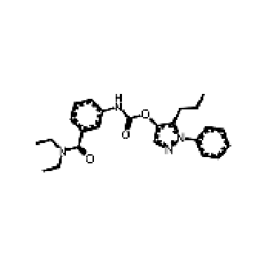 CCCc1c(OC(=O)Nc2cccc(C(=O)N(CC)CC)c2)cnn1-c1ccccc1